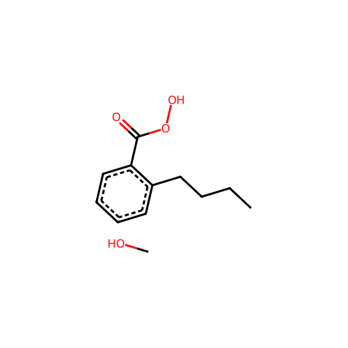 CCCCc1ccccc1C(=O)OO.CO